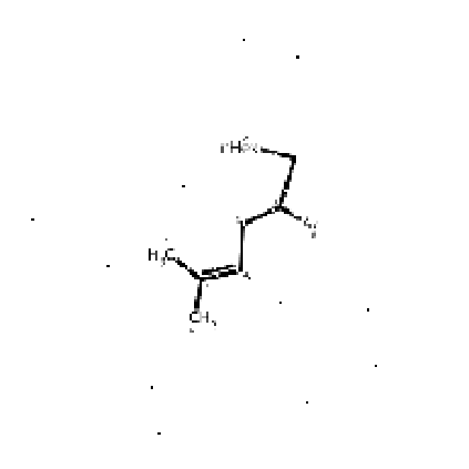 CCCCCCCC(CC=C(C)C)C(C)=O